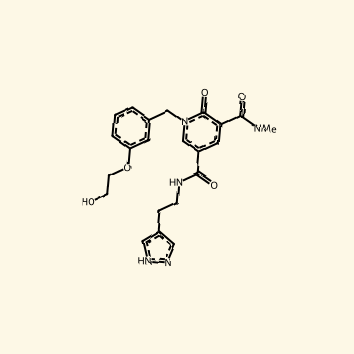 CNC(=O)c1cc(C(=O)NCCc2cn[nH]c2)cn(Cc2cccc(OCCO)c2)c1=O